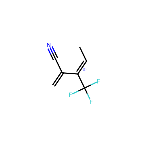 C=C(C#N)/C(=C\C)C(F)(F)F